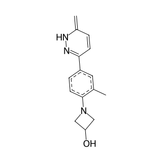 C=C1C=CC(c2ccc(N3CC(O)C3)c(C)c2)=NN1